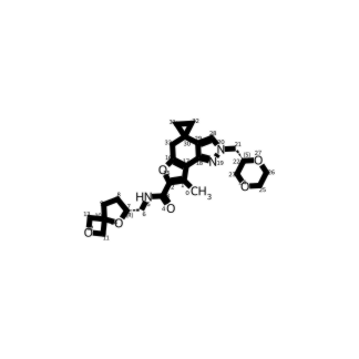 Cc1c(C(=O)NC[C@H]2CCC3(COC3)O2)oc2c1-c1nn(C[C@H]3COCCO3)cc1C1(CC1)C2